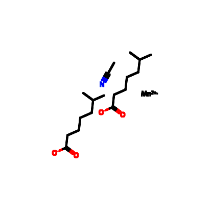 CC#N.CC(C)CCCCC(=O)[O-].CC(C)CCCCC(=O)[O-].[Mn+2]